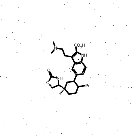 CC(C)C1CC[C@](C)(C2COC(=O)N2)CC1c1ccc2[nH]c(C(=O)O)c(CCN(C)C)c2c1